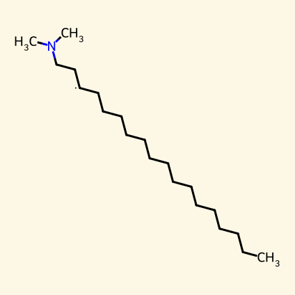 CCCCCCCCCCCCCCC[CH]CCN(C)C